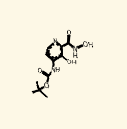 CC(C)(C)OC(=O)Nc1ccnc(C(=O)NO)c1O